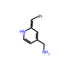 CC(C)C=C1C=C(CN)C=CN1